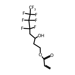 C=CC(=O)OCCC(O)CC(F)(F)C(F)(F)C(F)(F)C(F)(F)F